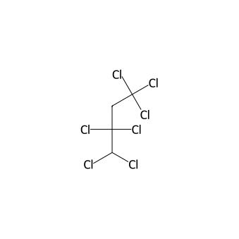 ClC(Cl)C(Cl)(Cl)CC(Cl)(Cl)Cl